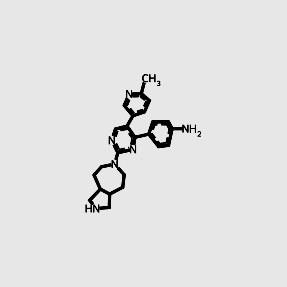 Cc1ccc(-c2cnc(N3CCC4CNCC4CC3)nc2-c2ccc(N)cc2)cn1